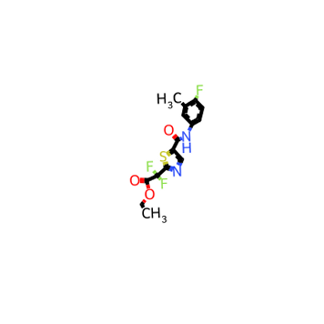 CCOC(=O)C(F)(F)c1ncc(C(=O)Nc2ccc(F)c(C)c2)s1